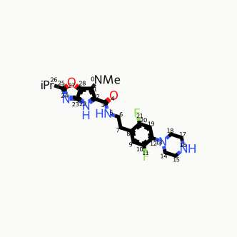 CNc1c(C(=O)NCCc2cc(F)c(N3CCNCC3)cc2F)[nH]c2nc(C(C)C)oc12